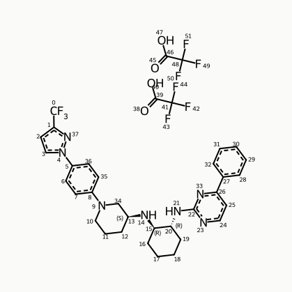 FC(F)(F)c1ccn(-c2ccc(N3CCC[C@H](N[C@@H]4CCCC[C@H]4Nc4nccc(-c5ccccc5)n4)C3)cc2)n1.O=C(O)C(F)(F)F.O=C(O)C(F)(F)F